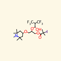 CN1C(C)(C)CC(OCC(COC(=O)C(C)(C)I)OC(O)C(C(F)(F)F)C(F)(F)F)CC1(C)C